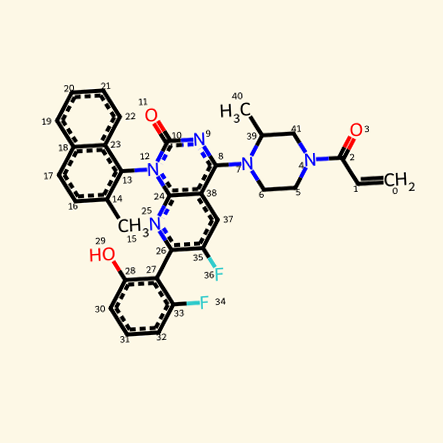 C=CC(=O)N1CCN(c2nc(=O)n(-c3c(C)ccc4ccccc34)c3nc(-c4c(O)cccc4F)c(F)cc23)C(C)C1